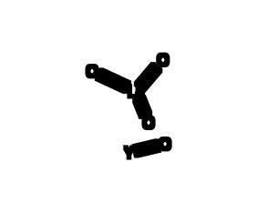 [O]=[La](=[O])=[O].[O]=[Y]